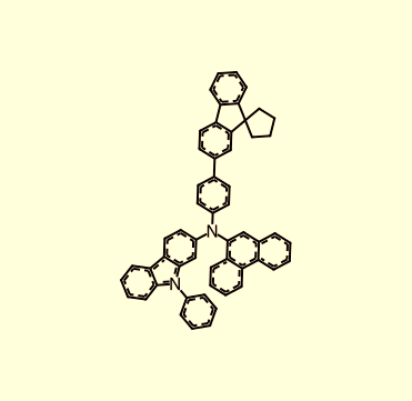 c1ccc(-n2c3ccccc3c3ccc(N(c4ccc(-c5ccc6c(c5)C5(CCCC5)c5ccccc5-6)cc4)c4cc5ccccc5c5ccccc45)cc32)cc1